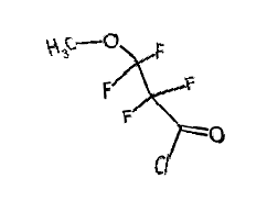 COC(F)(F)C(F)(F)C(=O)Cl